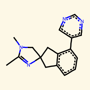 CC1=NC2(Cc3cccc(-c4cncnc4)c3C2)CN1C